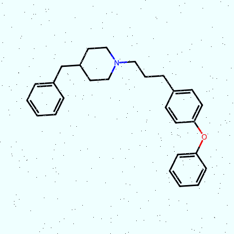 c1ccc(CC2CCN(CCCc3ccc(Oc4ccccc4)cc3)CC2)cc1